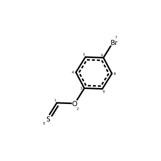 S=COc1ccc(Br)cc1